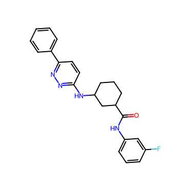 O=C(Nc1cccc(F)c1)C1CCCC(Nc2ccc(-c3ccccc3)nn2)C1